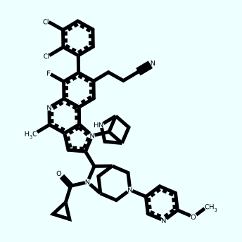 COc1ccc(N2CC3CC(C2)N(C(=O)C2CC2)C3c2cc3c(C)nc4c(F)c(-c5cccc(Cl)c5Cl)c(CCC#N)cc4c3n2C2C3CNC2C3)cn1